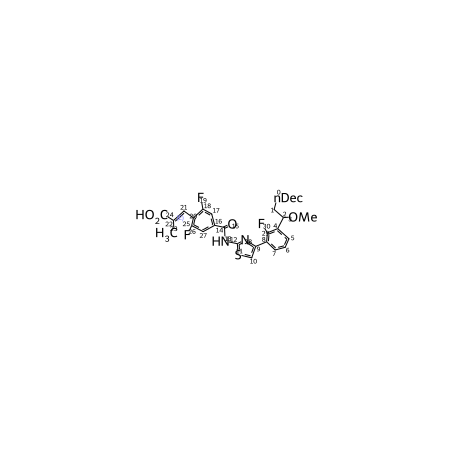 CCCCCCCCCCCC(OC)c1cccc(-c2csc(NC(=O)c3cc(F)c(/C=C(\C)C(=O)O)c(F)c3)n2)c1F